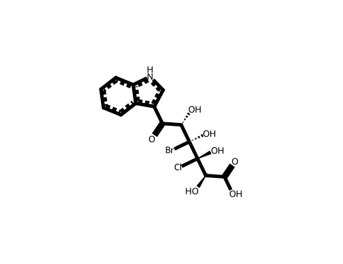 O=C(O)[C@@H](O)[C@](O)(Cl)[C@@](O)(Br)[C@@H](O)C(=O)c1c[nH]c2ccccc12